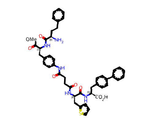 COC(=O)[C@H](Cc1ccc(NC(=O)CCC(=O)N[C@H](Cc2cccs2)C(=O)N[C@@H](Cc2ccc(-c3ccccc3)cc2)C(=O)O)cc1)NC(=O)[C@H](N)CCc1ccccc1